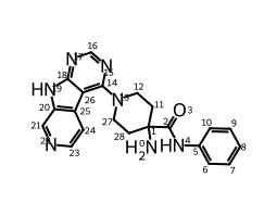 NC1(C(=O)Nc2ccccc2)CCN(c2ncnc3[nH]c4cnccc4c23)CC1